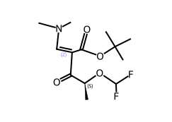 C[C@H](OC(F)F)C(=O)/C(=C/N(C)C)C(=O)OC(C)(C)C